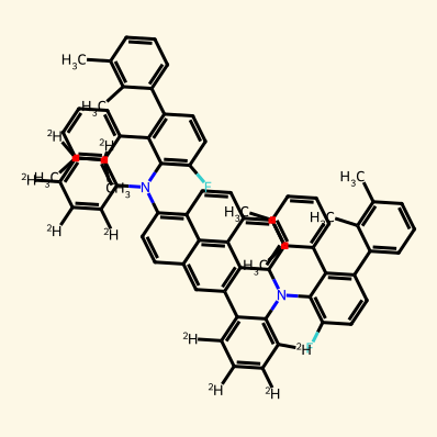 [2H]c1c([2H])c([2H])c(N(c2c(F)ccc(-c3cccc(C)c3C)c2-c2cccc(C)c2C)c2ccc3cc4c5c(ccc6ccc2c3c65)N(c2c(F)ccc(-c3cccc(C)c3C)c2-c2cccc(C)c2C)c2c([2H])c([2H])c([2H])c([2H])c2-4)c([2H])c1[2H]